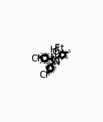 CCOc1cc(C)ccc1C1=NC(c2ccc(Cl)cc2)C(c2ccc(Cl)cc2)N1